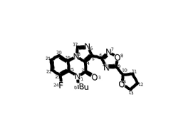 CCC(C)n1c(=O)c2c(-c3noc(C4CCCO4)n3)ncn2c2cccc(F)c21